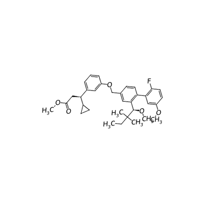 CCC(C)(C)[C@H](OC)c1cc(COc2cccc([C@H](CC(=O)OC)C3CC3)c2)ccc1-c1cc(OC)ccc1F